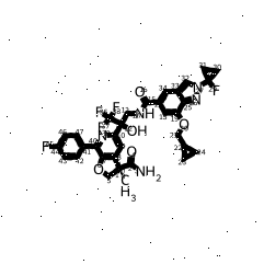 C[C@]1(C(N)=O)COc2c1cc(C(O)(CNC(=O)c1cc(OCC3CC3)c3nn(C4(F)CC4)cc3c1)C(F)(F)F)nc2-c1ccc(F)cc1